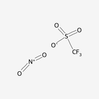 O=S(=O)([O-])C(F)(F)F.O=[N+]=O